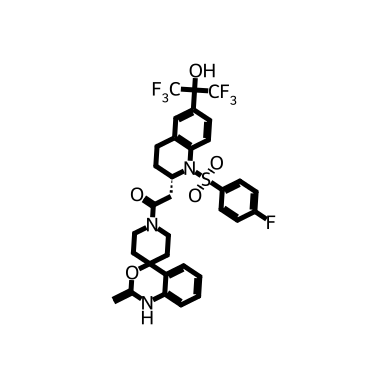 C=C1Nc2ccccc2C2(CCN(C(=O)C[C@@H]3CCc4cc(C(O)(C(F)(F)F)C(F)(F)F)ccc4N3S(=O)(=O)c3ccc(F)cc3)CC2)O1